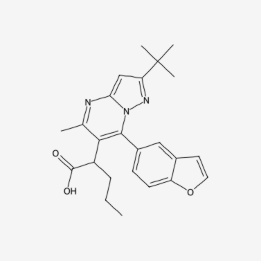 CCCC(C(=O)O)c1c(C)nc2cc(C(C)(C)C)nn2c1-c1ccc2occc2c1